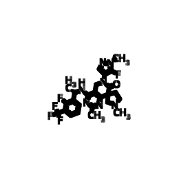 Cc1nc(N[C@H](C)c2cccc(C(F)(F)F)c2F)c2c(n1)C1(CCN(C)C1)C(=O)N(c1cnn(C)c1F)C2